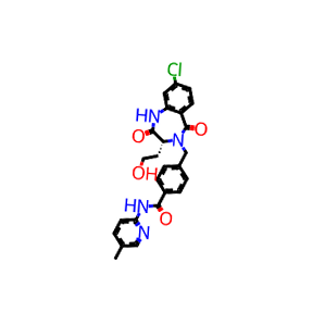 Cc1ccc(NC(=O)c2ccc(CN3C(=O)c4ccc(Cl)cc4NC(=O)[C@H]3CCO)cc2)nc1